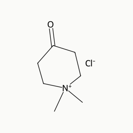 C[N+]1(C)CCC(=O)CC1.[Cl-]